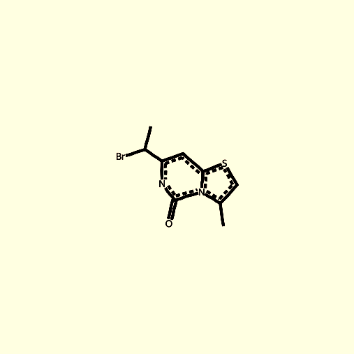 Cc1csc2cc(C(C)Br)nc(=O)n12